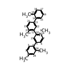 Cc1ccc(-c2cc[n+](C)c(-c3cc(-c4ccccc4C)ccc3C)c2)c(C)c1